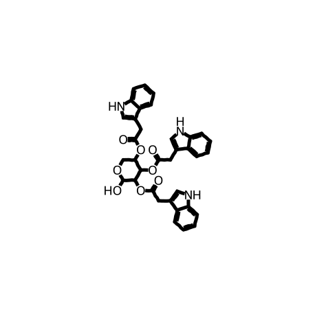 O=C(Cc1c[nH]c2ccccc12)OC1COC(O)C(OC(=O)Cc2c[nH]c3ccccc23)C1OC(=O)Cc1c[nH]c2ccccc12